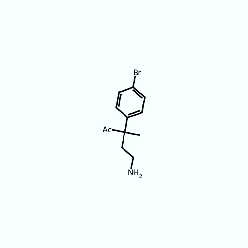 CC(=O)C(C)(CCN)c1ccc(Br)cc1